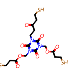 O=C(CCS)CCn1c(=O)n(COC(=O)CCS)c(=O)n(COC(=O)CCS)c1=O